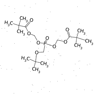 CC(C)(C)OCP(=O)(OCOC(=O)C(C)(C)C)OCOC(=O)C(C)(C)C